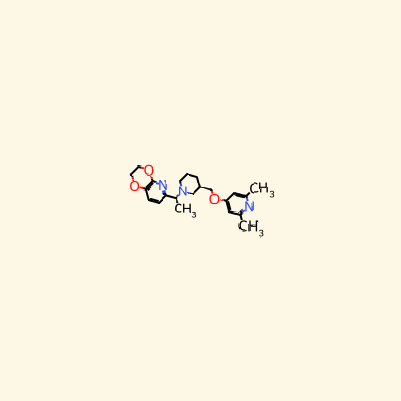 Cc1cc(OC[C@@H]2CCCN([C@@H](C)c3ccc4c(n3)OCCO4)C2)cc(C)n1